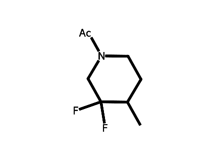 CC(=O)N1CCC(C)C(F)(F)C1